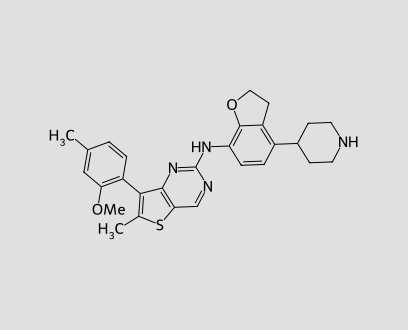 COc1cc(C)ccc1-c1c(C)sc2cnc(Nc3ccc(C4CCNCC4)c4c3OCC4)nc12